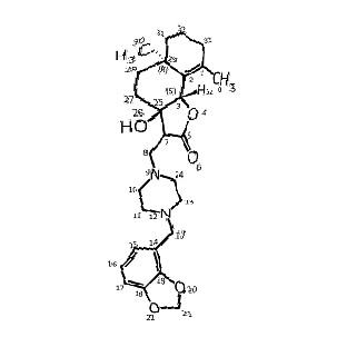 CC1=C2[C@@H]3OC(=O)C(CN4CCN(Cc5cccc6c5OCO6)CC4)C3(O)CC[C@@]2(C)CCC1